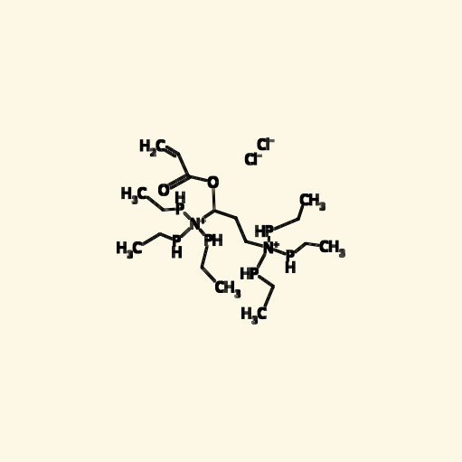 C=CC(=O)OC(CC[N+](PCC)(PCC)PCC)[N+](PCC)(PCC)PCC.[Cl-].[Cl-]